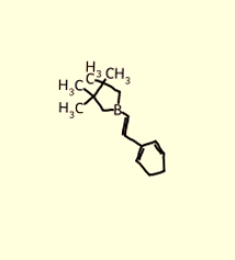 CC1(C)CB(/C=C/C2=CCCC=C2)CC1(C)C